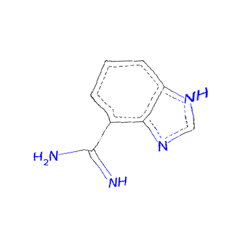 N=C(N)c1cccc2[nH]cnc12